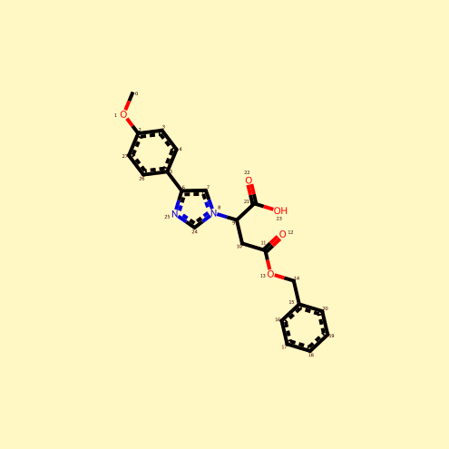 COc1ccc(-c2cn(C(CC(=O)OCc3ccccc3)C(=O)O)cn2)cc1